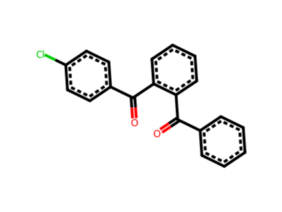 O=C(c1ccccc1)c1ccccc1C(=O)c1ccc(Cl)cc1